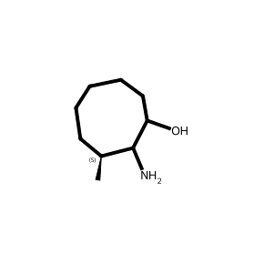 C[C@H]1CCCCCC(O)C1N